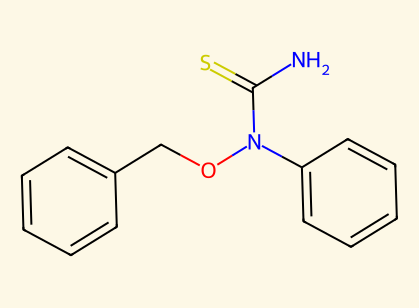 NC(=S)N(OCc1ccccc1)c1ccccc1